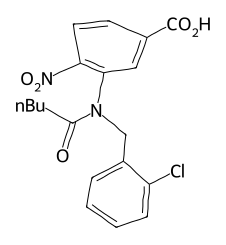 CCCCC(=O)N(Cc1ccccc1Cl)c1cc(C(=O)O)ccc1[N+](=O)[O-]